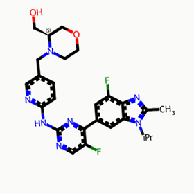 Cc1nc2c(F)cc(-c3nc(Nc4ccc(CN5CCOC[C@@H]5CO)cn4)ncc3F)cc2n1C(C)C